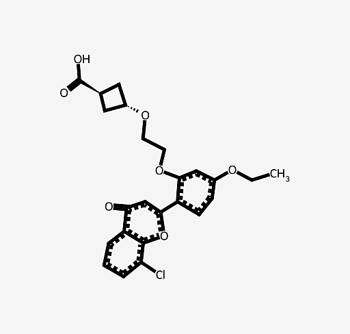 CCOc1ccc(-c2cc(=O)c3cccc(Cl)c3o2)c(OCCO[C@H]2C[C@H](C(=O)O)C2)c1